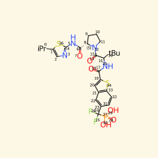 CC(C)c1cnc(NC(=O)[C@@H]2CCCN2C(=O)C(NC(=O)c2cc3cc(C(F)(F)P(=O)(O)O)ccc3s2)C(C)(C)C)s1